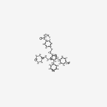 C[S+]([O-])c1ccc(CSc2nc(-c3ccc(F)cc3)c(-c3ccncc3)n2CCN2CCOCC2)cc1